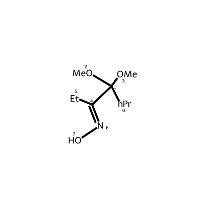 CCCC(OC)(OC)C(CC)=NO